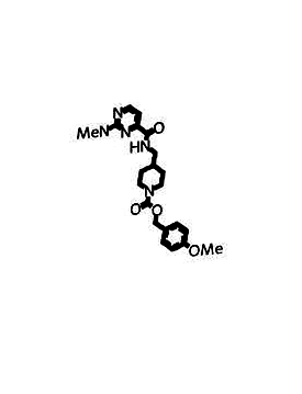 CNc1nccc(C(=O)NCC2CCN(C(=O)OCc3ccc(OC)cc3)CC2)n1